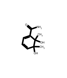 CC1(O)C=CC=C(C(N)=O)C1(C)O